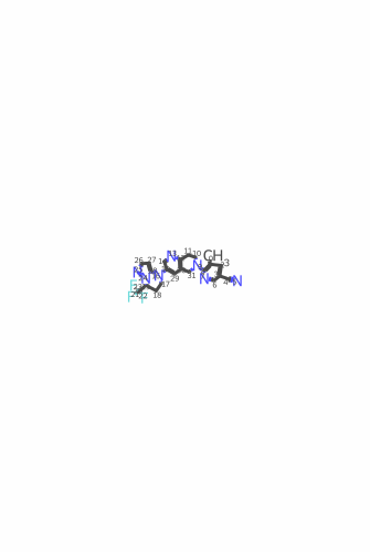 Cc1cc(C#N)cnc1N1CCc2ncc(N3CCC(C(F)(F)F)n4nccc43)cc2C1